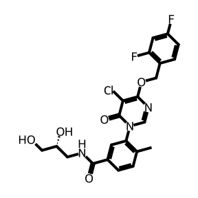 Cc1ccc(C(=O)NC[C@@H](O)CO)cc1-n1cnc(OCc2ccc(F)cc2F)c(Cl)c1=O